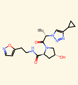 CC(C)(C)[C@@H](C(=O)N1C[C@H](O)C[C@H]1C(=O)NCCc1ccno1)n1cc(C2CC2)nn1